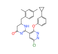 Cc1ccc(CC2CC(=O)N=C(c3cc(Cl)nnc3Oc3cccc(C4CC4)c3)N2)c(C)c1